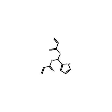 C=CC(=O)SC(SC(=O)C=C)c1ccc[se]1